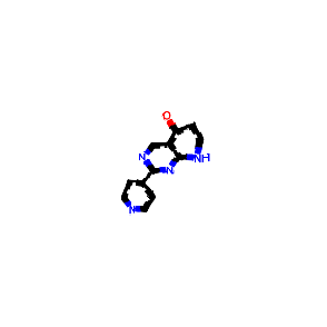 O=c1cc[nH]c2nc(-c3ccncc3)ncc12